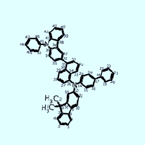 CC1(C)c2ccccc2-c2ccc(N(c3ccc(-c4ccccc4)cc3)c3cccc4c(-c5ccc6c(c5)c5ccccc5n6-c5ccccc5)cccc34)cc21